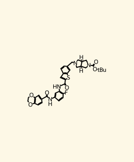 CC(C)(C)OC(=O)N1C[C@@H]2CN(Cc3ccc4cc(C(=O)Nc5cc(NC(=O)c6ccc7c(c6)OCCO7)ccc5F)sc4c3)C[C@H]2C1